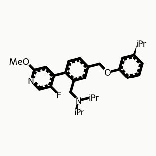 [CH2][C@H](C)c1cccc(OCc2ccc(-c3cc(OC)ncc3F)c(CN(C(C)C)C(C)C)c2)c1